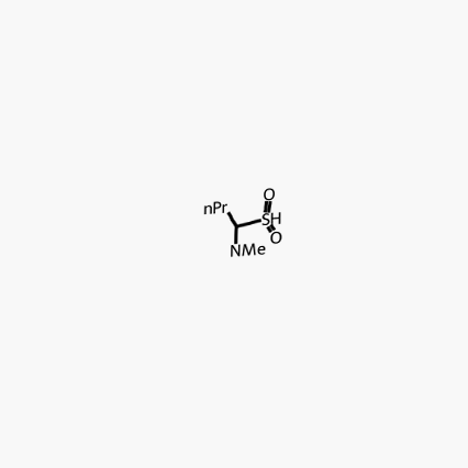 CCCC(NC)[SH](=O)=O